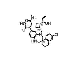 C=CC(O)[C@@H]1CC[C@H]1CN1C[C@@]2(CCCc3cc(Cl)ccc32)CNc2ccc(C(CC(=O)N(C)C)C(=O)O)cc21